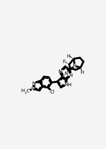 Cn1cc2c(Cl)c(-c3c[nH]c4nc(N5[C@H]6CC[C@@H]5[C@@H](F)[C@@H](N)C6)cnc34)ccc2n1